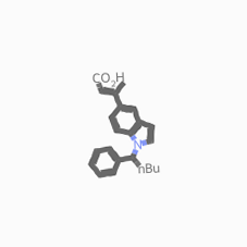 CCCCC(c1ccccc1)n1ccc2cc(/C(C)=C/C(=O)O)ccc21